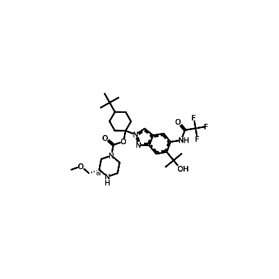 COC[C@@H]1CN(C(=O)OC2(n3cc4cc(NC(=O)C(F)(F)F)c(C(C)(C)O)cc4n3)CCC(C(C)(C)C)CC2)CCN1